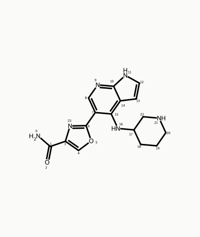 NC(=O)c1coc(-c2cnc3[nH]ccc3c2NC2CCCNC2)n1